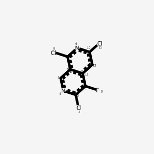 Fc1c(Cl)ncc2c(Cl)nc(Cl)cc12